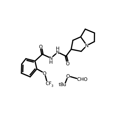 CC(C)(C)OC=O.O=C(NNC(=O)C1CC2CCCN2C1)c1ccccc1OC(F)(F)F